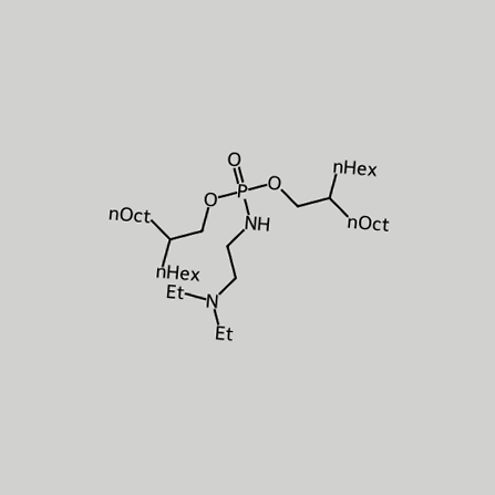 CCCCCCCCC(CCCCCC)COP(=O)(NCCN(CC)CC)OCC(CCCCCC)CCCCCCCC